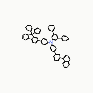 c1ccc(-c2cc(-c3ccccc3)cc(N(c3ccc(-c4cccc(-c5cccc6ccccc56)c4)cc3)c3ccc(-c4ccc5c(c4)C(c4ccccc4)(c4ccccc4)c4ccccc4-5)cc3)c2)cc1